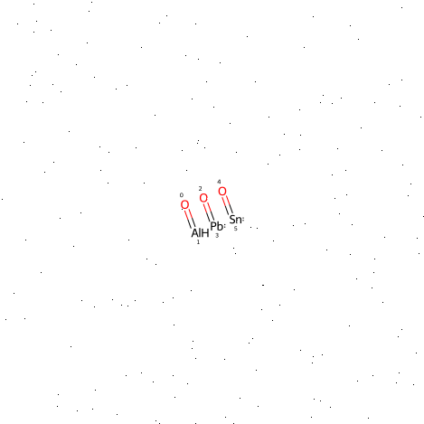 [O]=[AlH].[O]=[Pb].[O]=[Sn]